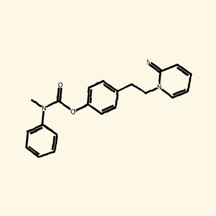 CN(C(=O)Oc1ccc(CCn2ccccc2=S)cc1)c1ccccc1